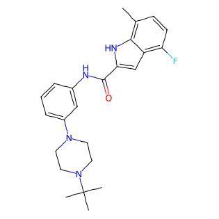 Cc1ccc(F)c2cc(C(=O)Nc3cccc(N4CCN(C(C)(C)C)CC4)c3)[nH]c12